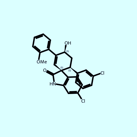 COc1ccccc1C1=C[C@@]2(C(=O)Nc3cc(Cl)ccc32)[C@H](c2cccc(Cl)c2)C[C@@H]1O